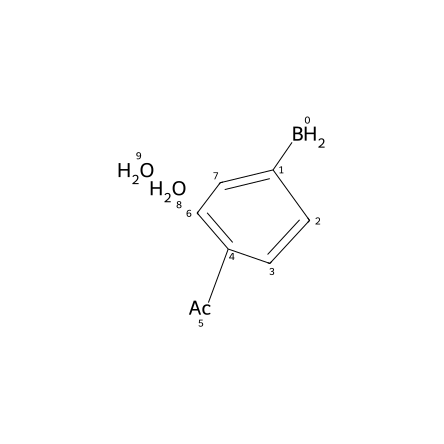 Bc1ccc(C(C)=O)cc1.O.O